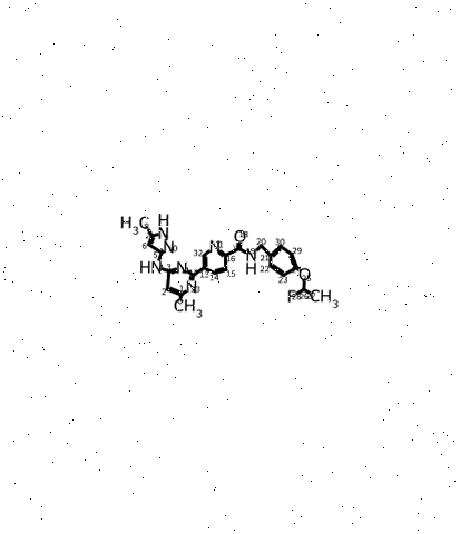 Cc1cc(Nc2cc(C)[nH]n2)nc(-c2ccc(C(=O)NCc3ccc(OC(C)F)cc3)nc2)n1